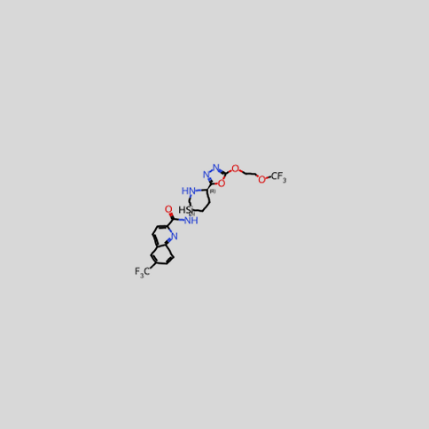 O=C(N[Si@H]1CC[C@H](c2nnc(OCCOC(F)(F)F)o2)NC1)c1ccc2cc(C(F)(F)F)ccc2n1